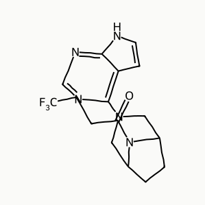 O=C(CCC(F)(F)F)N1C2CCC1CN(c1ncnc3[nH]ccc13)C2